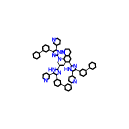 C1=C(c2nc(-c3cccc(-c4ccccc4)c3)c(-c3cccnc3)[nH]2)CN(c2nc(-c3cccc(-c4ccccc4)c3)c(-c3cccnc3)[nH]2)c2c1c(-c1nc(-c3cccc(-c4ccccc4)c3)c(-c3cccnc3)[nH]1)cc1cccnc21